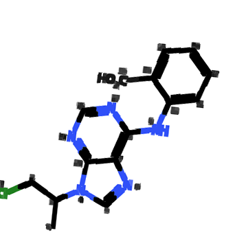 CC(CCl)n1cnc2c(Nc3ccccc3C(=O)O)ncnc21